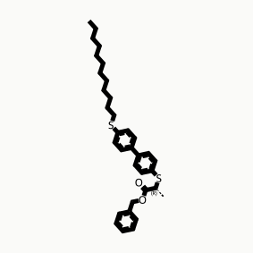 CCCCCCCCCCCCSc1ccc(-c2ccc(S[C@H](C)C(=O)OCc3ccccc3)cc2)cc1